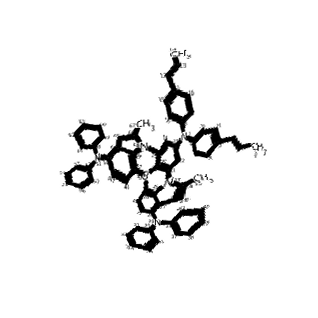 CCCc1ccc(N(c2ccc(CCC)cc2)c2cc3c4c(c2)-n2c(C)cc5c(N(c6ccccc6)c6ccccc6)ccc(c52)B4c2ccc(N(c4ccccc4)c4ccccc4)c4cc(C)n-3c24)cc1